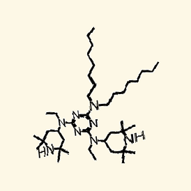 CCCCCCCCN(CCCCCCCC)c1nc(N(CC)C2CC(C)(C)NC(C)(C)C2)nc(N(CC)C2CC(C)(C)NC(C)(C)C2)n1